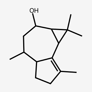 CC1=C2C(CC1)C(C)CC(O)C1C2C1(C)C